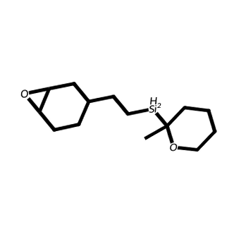 CC1([SiH2]CCC2CCC3OC3C2)CCCCO1